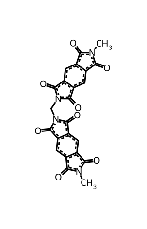 Cn1c(=O)c2cc3c(=O)n(Cn4c(=O)c5cc6c(=O)n(C)c(=O)c6cc5c4=O)c(=O)c3cc2c1=O